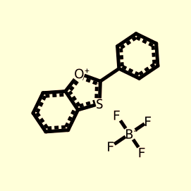 F[B-](F)(F)F.c1ccc(-c2[o+]c3ccccc3s2)cc1